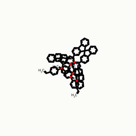 C=Cc1ccc(CC2(c3ccc(C)cc3C)c3ccccc3-c3ccc(N(c4ccc(-c5ccccc5)cc4)c4ccc5c(c4)C4(c6ccccc6-c6ccc(N(c7ccc(-c8ccccc8)cc7)c7ccc8c(c7)C(C(c7ccc(C=C)cc7)c7ccc(C)cc7C)c7ccccc7-8)cc64)c4ccccc4-5)cc32)cc1